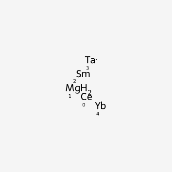 [Ce].[MgH2].[Sm].[Ta].[Yb]